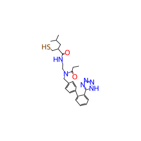 CCC(=O)N(CCNC(=O)C(CS)CC(C)C)Cc1ccc(-c2ccccc2-c2nnn[nH]2)cc1